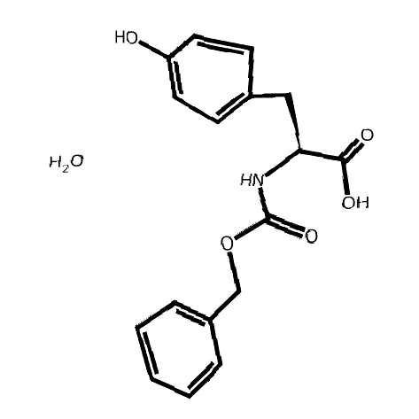 O.O=C(N[C@@H](Cc1ccc(O)cc1)C(=O)O)OCc1ccccc1